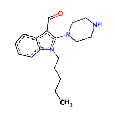 CCCCCn1c(N2CCNCC2)c(C=O)c2ccccc21